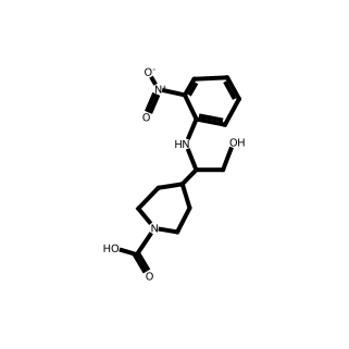 O=C(O)N1CCC(C(CO)Nc2ccccc2[N+](=O)[O-])CC1